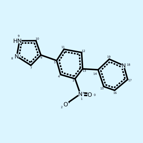 O=[N+]([O-])c1cc(-c2cn[nH]c2)ccc1-c1cccnc1